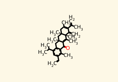 C=Cc1cc(C(C)C)c2c(c1C)C(=O)C1=C(C)[C@@]3(C)C(=C)C(C(=C)C)=C(C)C[C@@]3(C)C[C@@]1(C)C2